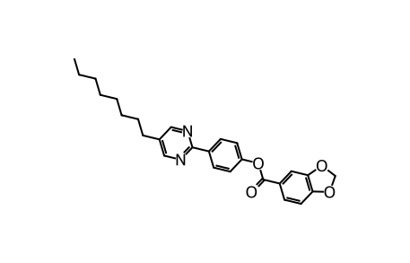 CCCCCCCCc1cnc(-c2ccc(OC(=O)c3ccc4c(c3)OCO4)cc2)nc1